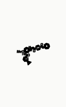 COC1=C=Cc2nn(CC(=O)N3CCN(C(=O)CC4=CCC=CC=C4)CC3)cc2C=C1NC(=O)c1cccc(C2CC2)n1